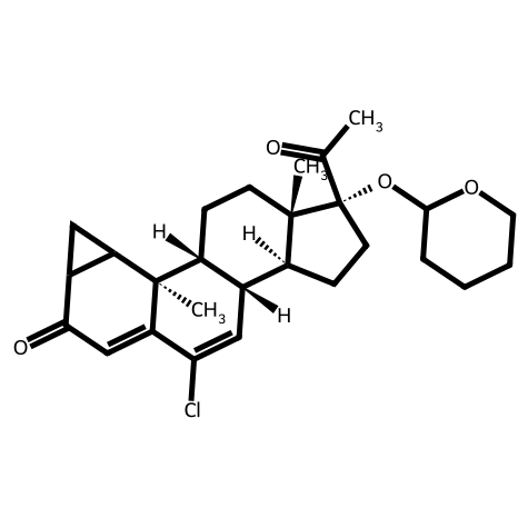 CC(=O)[C@@]1(OC2CCCCO2)CC[C@H]2[C@@H]3C=C(Cl)C4=CC(=O)C5CC5[C@@]4(C)[C@@H]3CC[C@@]21C